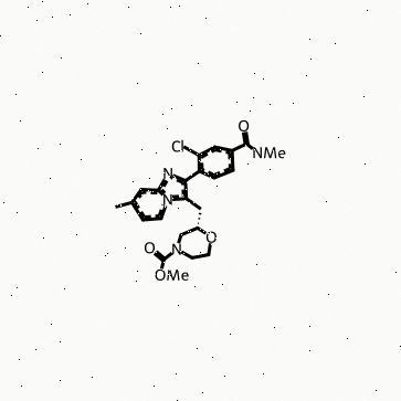 CNC(=O)c1ccc(-c2nc3cc(C)ccn3c2C[C@H]2CN(C(=O)OC)CCO2)c(Cl)c1